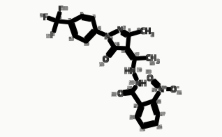 CC1=NN(c2ccc(C(F)(F)F)cc2)C(=O)/C1=C(/C)NNC(=O)c1ccccc1[N+](=O)[O-]